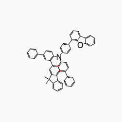 CC1(C)c2ccccc2-c2ccc(-c3cc(-c4ccccc4)ccc3N(c3ccc(-c4ccccc4)cc3)c3ccc(-c4cccc5c4oc4ccccc45)cc3)cc21